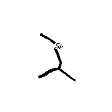 C[Si]C(C)C